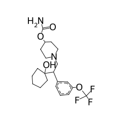 NC(=O)OC1CCN(CC(c2cccc(OC(F)(F)F)c2)C2(O)CCCCC2)CC1